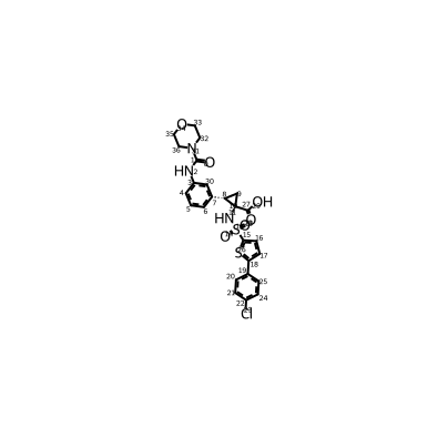 O=C(Nc1cccc([C@@H]2C[C@]2(NS(=O)(=O)c2ccc(-c3ccc(Cl)cc3)s2)C(=O)O)c1)N1CCOCC1